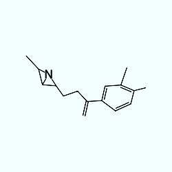 C=C(CCC1C2C(C)N12)c1ccc(C)c(C)c1